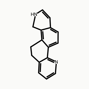 C1=Cc2ccc3c(c2CN1)CCc1cccnc1-3